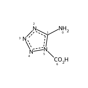 Nc1nnnn1C(=O)O